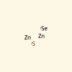 [S].[Se].[Zn].[Zn]